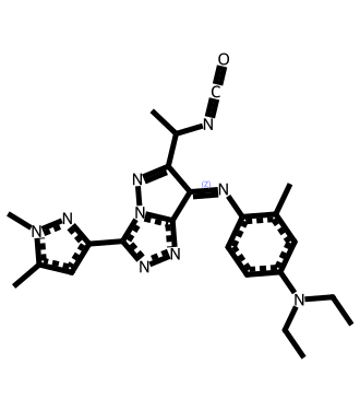 CCN(CC)c1ccc(/N=C2/C(C(C)N=C=O)=Nn3c2nnc3-c2cc(C)n(C)n2)c(C)c1